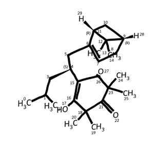 CC(C)C[C@@H](CC1=CC[C@H]2C[C@@H]1C2(C)C)C1=C(O)C(C)(C)C(=O)C(C)(C)C1=O